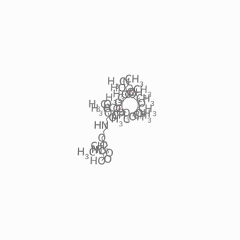 CC[C@H]1OC(=O)[C@H](C)[C@@H](O[C@H]2C[C@@](C)(OC)[C@@H](OC(=O)CCNCCCOc3ccc4c(=O)c(C(=O)O)cn(N(C)C)c4c3)[C@H](C)O2)[C@H](C)[C@@H](O[C@@H]2O[C@H](C)C[C@H](N(C)C)[C@H]2O)[C@](C)(OC)C[C@@H](C)C(=O)[C@@H](C)[C@@H](O)[C@]1(C)O